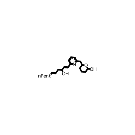 CCCCCC=CCC(O)C=Cc1cccc(CC2CCCC(O)O2)n1